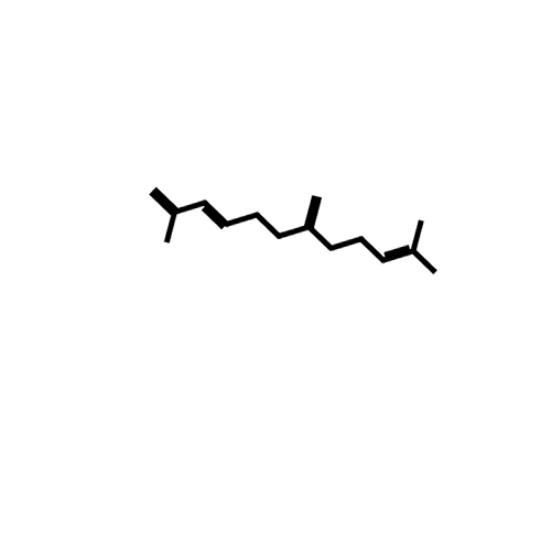 C=C(C)C=CCCC(=C)CCC=C(C)C